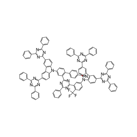 N#Cc1ccc(-c2ccc(-n3c4ccc(-c5nc(-c6ccccc6)nc(-c6ccccc6)n5)cc4c4cc(-c5nc(-c6ccccc6)nc(-c6ccccc6)n5)ccc43)cc2-c2nc(-c3ccccc3)nc(-c3cc(-n4c5ccc(-c6nc(-c7ccccc7)nc(-c7ccccc7)n6)cc5c5cc(-c6nc(-c7ccccc7)nc(-c7ccccc7)n6)ccc54)ccc3C(F)(F)F)n2)cc1